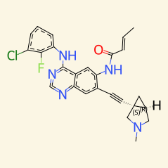 CC=CC(=O)Nc1cc2c(Nc3cccc(Cl)c3F)ncnc2cc1C#C[C@]12C[C@H]1CN(C)C2